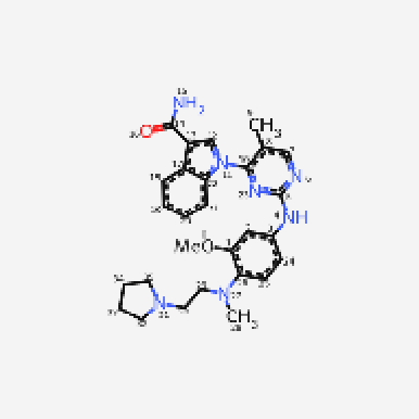 COc1cc(Nc2ncc(C)c(-n3cc(C(N)=O)c4ccccc43)n2)ccc1N(C)CCN1CCCC1